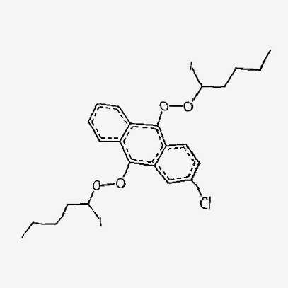 CCCCC(I)OOc1c2ccccc2c(OOC(I)CCCC)c2cc(Cl)ccc12